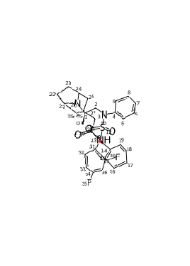 C[C@H](CN(c1ccccc1)S(=O)(=O)Cc1ccccc1)N1C2CCC1CC(CC(=O)Nc1ccc(F)cc1F)C2